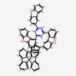 c1ccc2c(c1)-c1ccccc1C21c2ccccc2-c2cccc(-c3ccc(-c4ccc5oc6cccc(-c7nc(-c8ccc9oc%10ccccc%10c9c8)nc(-c8cccc9oc%10ccccc%10c89)n7)c6c5c4)cc3)c21